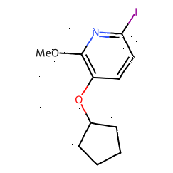 COc1nc(I)ccc1OC1CCCC1